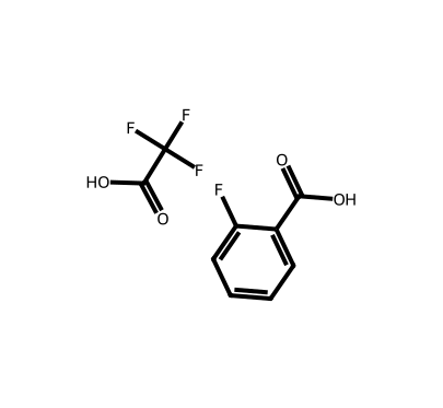 O=C(O)C(F)(F)F.O=C(O)c1ccccc1F